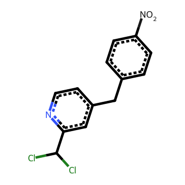 O=[N+]([O-])c1ccc(Cc2ccnc(C(Cl)Cl)c2)cc1